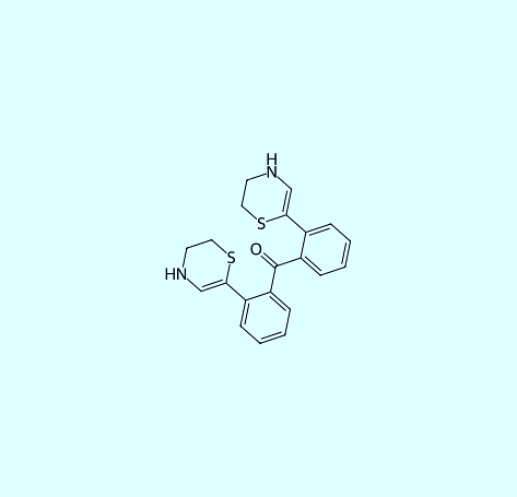 O=C(c1ccccc1C1=CNCCS1)c1ccccc1C1=CNCCS1